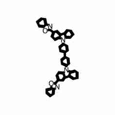 c1ccc2oc(-c3ccc4c(c3)c3ccccc3n4-c3ccc(-c4ccc(-n5c6ccccc6c6cc(-c7nc8ccccc8o7)ccc65)cc4)cc3)nc2c1